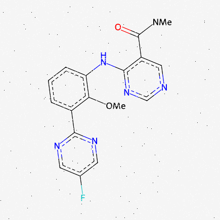 CNC(=O)c1cncnc1Nc1cccc(-c2ncc(F)cn2)c1OC